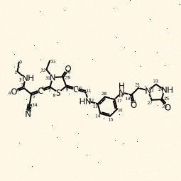 CCNC(=O)C(=C=c1sc(=C=CNc2cccc(NC(=O)CN3CNC(=O)C3)c2)c(=O)n1CC)C#N